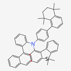 CC1(C)CCC(C)(C)c2c(-c3ccc(N(c4ccccc4-c4cccc5ccccc45)c4cccc5c4-c4ccccc4[Si]5(C)C)cc3)cccc21